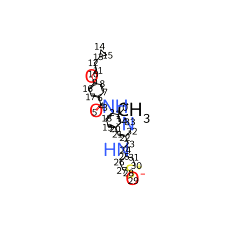 Cc1c(NC(=O)c2ccc(OCCC3CC3)cc2)ccc2cc(CN[C@H]3CC[S@@+]([O-])CC3)cnc12